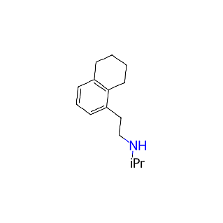 CC(C)NCCc1cccc2c1CCCC2